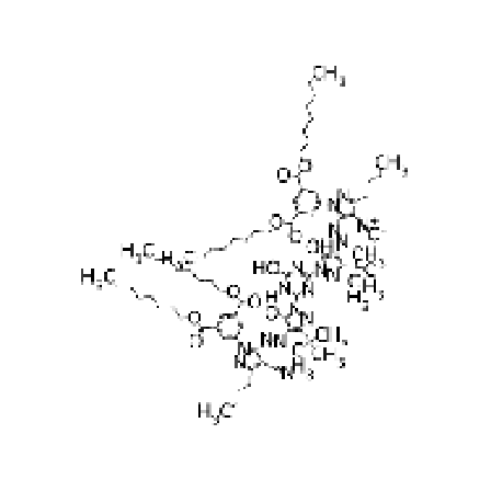 [C-]#[N+]c1c(CCCC)nn(-c2cc(C(=O)OCCCCCCCC)cc(C(=O)OCCCCCCCC)c2)c1N=Nc1c(C(C)(C)C)nn(-c2nc(O)nc(-n3nc(C(C)(C)C)c(N=Nc4c(C#N)c(CCCC)nn4-c4cc(C(=O)OCCCCCCCC)cc(C(=O)OCCCCCCCC)c4)c3O)n2)c1O